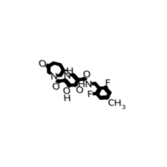 Cc1cc(F)c(CNC(=O)c2cn3c(c(O)c2=O)C(=O)N2CC(=O)CC[C@H]3C2)c(F)c1